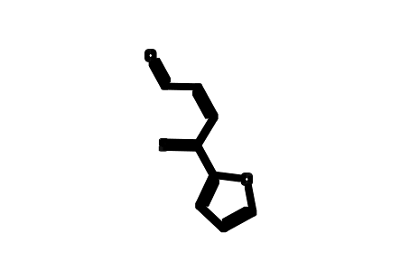 O=C/C=C\C(=S)c1ccco1